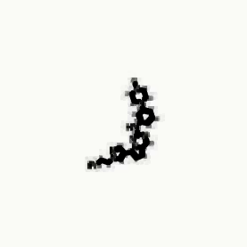 CC(C)CCn1cc(-c2ccc3cnc(Nc4cccc(N5CCN(C)CC5)c4)nn23)cn1